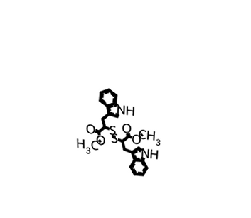 COC(=O)C(Cc1c[nH]c2ccccc12)SSC(Cc1c[nH]c2ccccc12)C(=O)OC